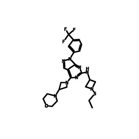 CCSN1CC(Nc2nc(N3CC(N4CCOCC4)C3)c3cnn(-c4cccc(C(F)(F)F)c4)c3n2)C1